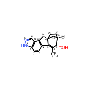 O[C@@H]1C(C(F)(F)F)=C2c3ccc4[nH]ncc4c3C[C@@]23CC[C@@H]1C3